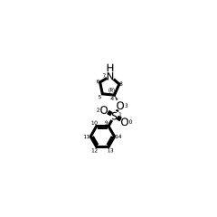 O=S(=O)(O[C@@H]1CCNC1)c1ccccc1